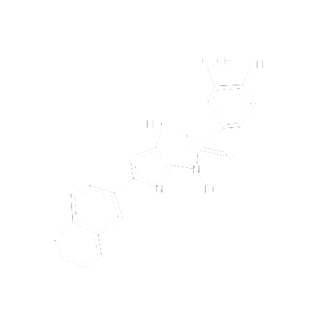 CCN(c1nc(-c2ccc3ccccc3c2)sc1C)S(=O)(=O)c1ccc(C)c(C(=O)O)c1